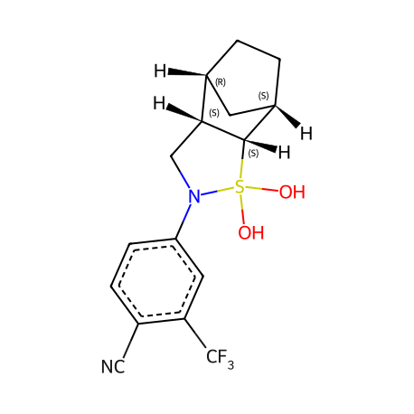 N#Cc1ccc(N2C[C@@H]3[C@@H]4CC[C@@H](C4)[C@@H]3S2(O)O)cc1C(F)(F)F